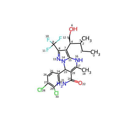 CC[C@H](C)[C@H](CO)c1c(C(F)(F)F)nn2c1NC(C)=C(C(N)=O)C2c1ccc(Cl)c(Cl)c1